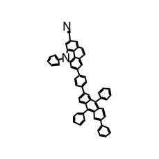 N#Cc1cc2ccc3cc(-c4ccc(-c5ccc6c(-c7ccccc7)c7cc(-c8ccccc8)ccc7c(-c7ccccc7)c6c5)cc4)cc4c3c2c(c1)n4-c1ccccc1